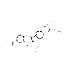 CCCNC(=O)C(Cc1ccc2c(c1)c(Cc1ccc(C(=O)O)cc1OC)cn2CCC)C(C)C